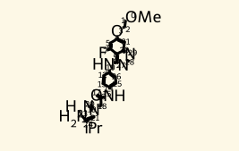 COCCOc1cc(F)c2c(Nc3ccc(NC(=O)CN(N)/C=C(\N)C(C)C)cc3)ncnc2c1